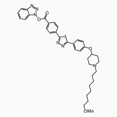 COCCCCCCCCN1CCC(Oc2ccc(-c3nnc(-c4ccc(C(=O)On5nnc6ccccc65)cc4)s3)cc2)CC1